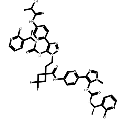 CC(C#N)C(=O)Nc1ccc(-c2nnn(CCC3(C(=O)Nc4ccc(-c5nnn(C)c5NC(=O)O[C@H](C)c5cccnc5Cl)nc4)CC(F)(F)C3)c2NC(=O)O[C@H](C)c2cccnc2Cl)nc1